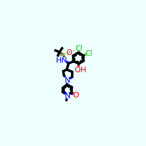 Cn1ccc(N2CCC(C(N[S@@+]([O-])C(C)(C)C)c3cc(Cl)c(Cl)cc3O)CC2)cc1=O